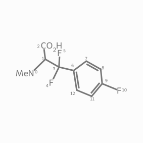 CNC(C(=O)O)C(F)(F)c1ccc(F)cc1